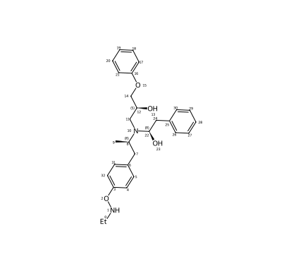 CCNOc1ccc(C[C@@H](C)N(C[C@H](O)COc2ccccc2)[C@H](O)Cc2ccccc2)cc1